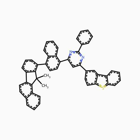 CC1(C)c2c(cccc2-c2ccc(-c3cc(-c4ccc5sc6ccccc6c5c4)nc(-c4ccccc4)n3)c3ccccc23)-c2ccc3ccccc3c21